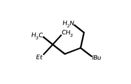 CCC(C)C(CN)CC(C)(C)CC